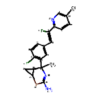 CC1(c2cc(/C=C(\F)c3ccc(C#N)cn3)ccc2F)N=C(N)SC2CC21